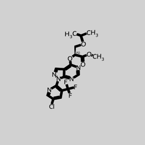 COC(=O)[C@H](COC(C)C)Oc1ncnc2c1cnn2-c1ncc(Cl)cc1C(F)(F)F